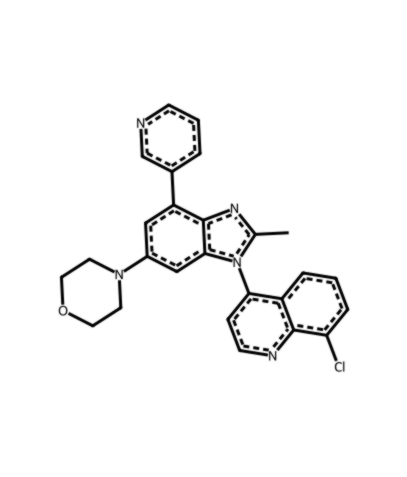 Cc1nc2c(-c3cccnc3)cc(N3CCOCC3)cc2n1-c1ccnc2c(Cl)cccc12